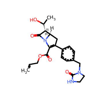 C=CCOC(=O)C1=C(c2ccc(CN3CCNC3=O)cc2)C[C@@H]2[C@@H](C(C)O)C(=O)N12